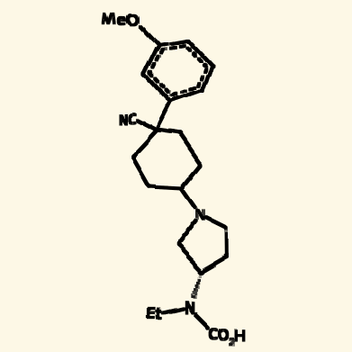 CCN(C(=O)O)[C@H]1CCN(C2CCC(C#N)(c3cccc(OC)c3)CC2)C1